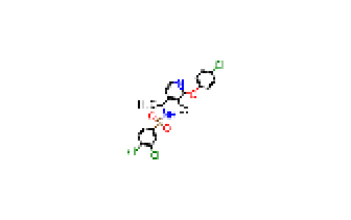 CCc1c(C(C)NS(=O)(=O)c2ccc(Cl)c(Cl)c2)ccnc1Oc1ccc(Cl)cc1